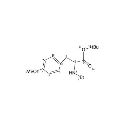 CCNC(Cc1ccc(OC)cc1)C(=O)OC(C)(C)C